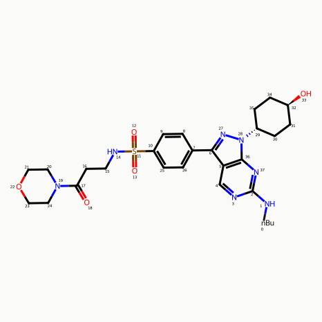 CCCCNc1ncc2c(-c3ccc(S(=O)(=O)NCCC(=O)N4CCOCC4)cc3)nn([C@H]3CC[C@H](O)CC3)c2n1